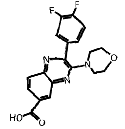 O=C(O)c1ccc2nc(-c3ccc(F)c(F)c3)c(N3CCOCC3)nc2c1